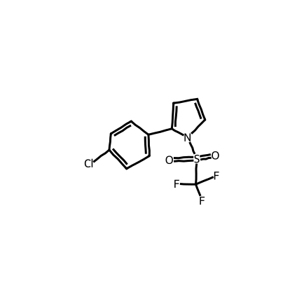 O=S(=O)(n1cccc1-c1ccc(Cl)cc1)C(F)(F)F